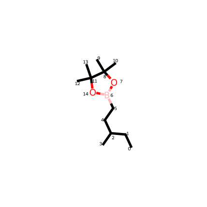 CCC(C)CCB1OC(C)(C)C(C)(C)O1